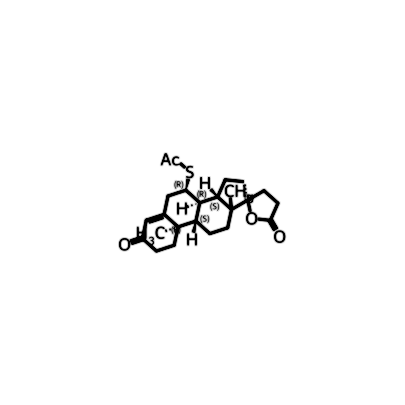 CC(=O)S[C@@H]1CC2=CC(=O)CC[C@]2(C)[C@H]2CCC3(C)[C@@H](CC[C@@]34CCC(=O)O4)[C@H]12